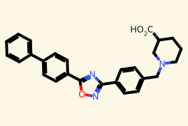 O=C(O)C1CCCN(Cc2ccc(-c3noc(-c4ccc(-c5ccccc5)cc4)n3)cc2)C1